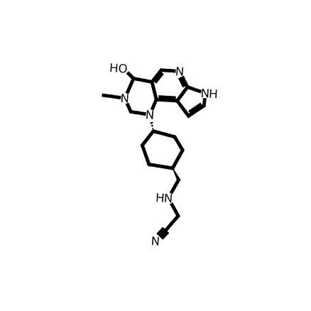 CN1CN([C@H]2CC[C@H](CNCC#N)CC2)c2c(cnc3[nH]ccc23)C1O